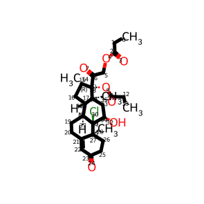 CCC(=O)OCC(=O)[C@]1(OC(=O)CC)[C@H](C)C[C@H]2[C@@H]3CCC4=CC(=O)CC[C@]4(C)[C@@]3(Cl)[C@H](O)C[C@@]21C